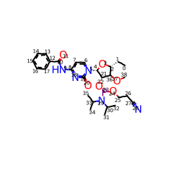 CC[C@H]1O[C@@H](n2ccc(NC(=O)c3ccccc3)nc2=O)[C@@H](OP(OCCC#N)N(C(C)C)C(C)C)C1OC